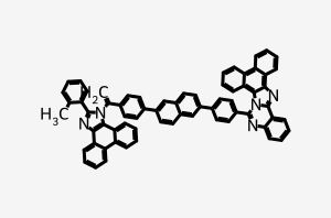 C=C(c1ccc(-c2ccc3cc(-c4ccc(-c5nc6ccccc6c6nc7c8ccccc8c8ccccc8c7n56)cc4)ccc3c2)cc1)n1c(-c2ccccc2C)nc2c3ccccc3c3ccccc3c21